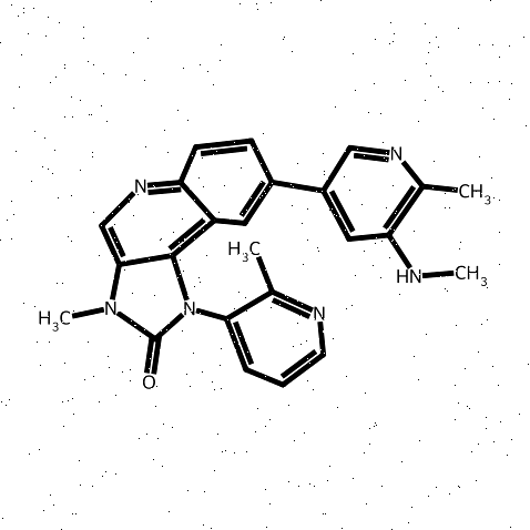 CNc1cc(-c2ccc3ncc4c(c3c2)n(-c2cccnc2C)c(=O)n4C)cnc1C